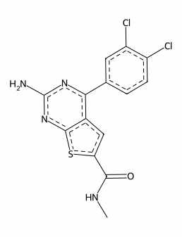 CNC(=O)c1cc2c(-c3ccc(Cl)c(Cl)c3)nc(N)nc2s1